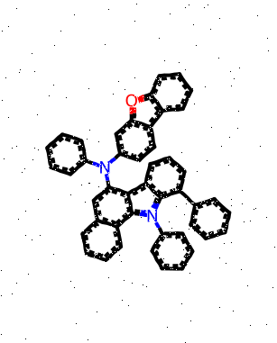 c1ccc(-c2cccc3c4c(N(c5ccccc5)c5ccc6c(c5)oc5ccccc56)cc5ccccc5c4n(-c4ccccc4)c23)cc1